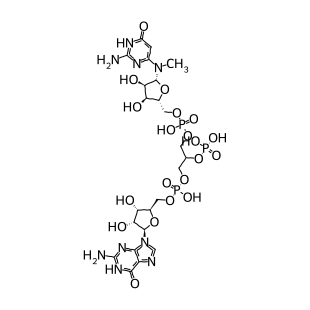 CN(c1cc(=O)[nH]c(N)n1)[C@@H]1O[C@H](COP(=O)(O)OCC(COP(=O)(O)OC[C@H]2O[C@@H](n3cnc4c(=O)[nH]c(N)nc43)[C@H](O)[C@@H]2O)OP(=O)(O)O)[C@@H](O)[C@H]1O